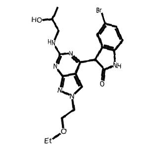 CCOCCn1cc2c(C3C(=O)Nc4ccc(Br)cc43)nc(NCC(C)O)nc2n1